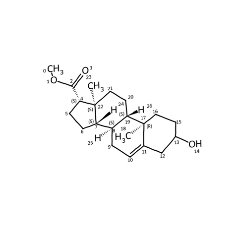 COC(=O)[C@H]1CC[C@H]2[C@@H]3CC=C4CC(O)CC[C@]4(C)[C@H]3CC[C@]12C